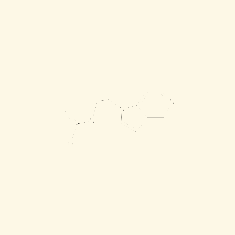 C[C@H](Cn1ccc2cncnc21)NC(=O)O